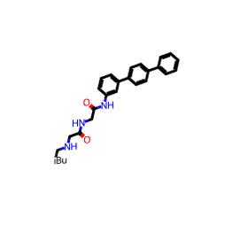 CCC(C)CNCC(=O)NCC(=O)Nc1cccc(-c2ccc(-c3ccccc3)cc2)c1